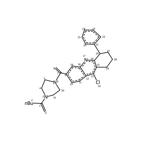 C=C(CCCC)N1CCN(C(=C)c2ccc3c(Cl)c4c(nc3c2)C(c2ccccc2)CCC4)CC1